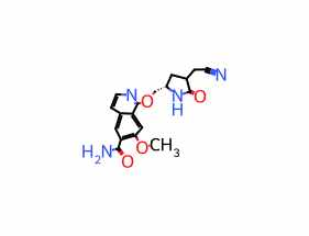 COc1cc2c(OC[C@@H]3CC(CC#N)C(=O)N3)nccc2cc1C(N)=O